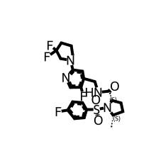 C[C@H]1CC[C@@H](C(=O)NCc2cc(N3CCCC(F)(F)C3)ncc2F)N1S(=O)(=O)c1ccc(F)cc1